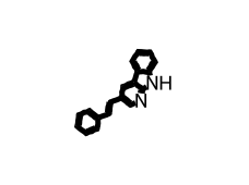 C(=C\c1cnc2[nH]c3ccccc3c2c1)/c1ccccc1